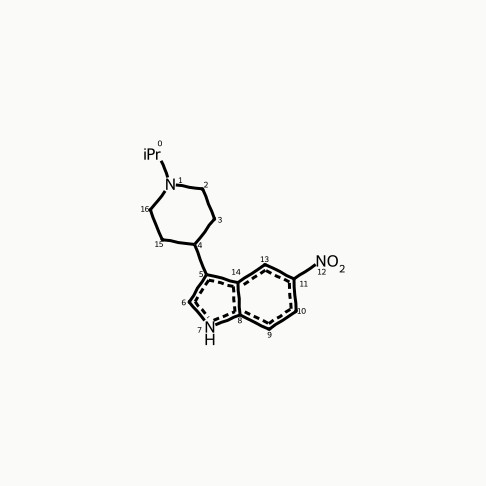 CC(C)N1CCC(c2c[nH]c3ccc([N+](=O)[O-])cc23)CC1